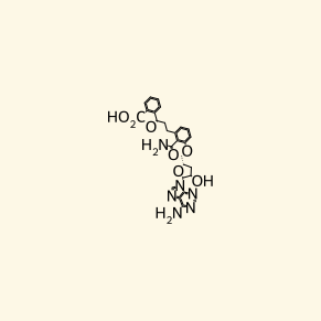 NC(=O)c1c(CCC(=O)c2ccccc2C(=O)O)cccc1OC[C@@H]1C[C@@H](O)[C@H](n2cnc3c(N)ncnc32)O1